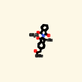 CCCCc1c2ccc(CC(=O)OC)ccc-2c(OC(=O)OCC)c1N1C(=O)c2ccccc2C1=O